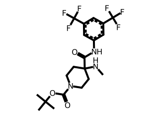 CNC1(C(=O)Nc2cc(C(F)(F)F)cc(C(F)(F)F)c2)CCN(C(=O)OC(C)(C)C)CC1